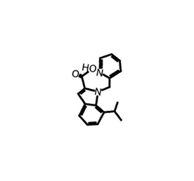 CC(C)c1cccc2cc(C(=O)O)n(Cc3ccccn3)c12